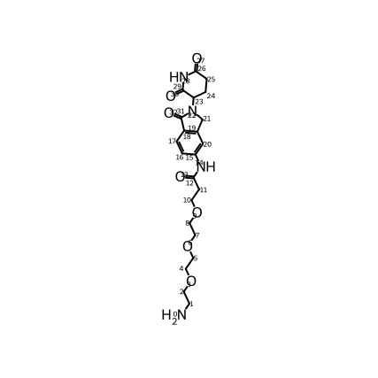 NCCOCCOCCOCCC(=O)Nc1ccc2c(c1)CN(C1CCC(=O)NC1=O)C2=O